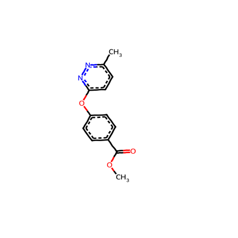 COC(=O)c1ccc(Oc2ccc(C)nn2)cc1